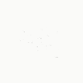 c1ccc(-c2ccnc(-n3c4cc5nccnc5cc4c4ccc5c6ccccc6oc5c43)n2)cc1